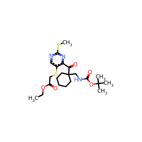 CCOC(=O)CSc1cnc(SC)nc1C(=O)C1(CNC(=O)OC(C)(C)C)CCCCC1